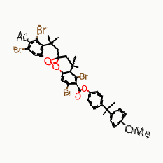 COc1ccc(C(C)(C)c2ccc(OC(=O)c3c(Br)cc4c(c3Br)C(C)(C)CC3(CC(C)(C)c5c(cc(Br)c(C(C)=O)c5Br)O3)O4)cc2)cc1